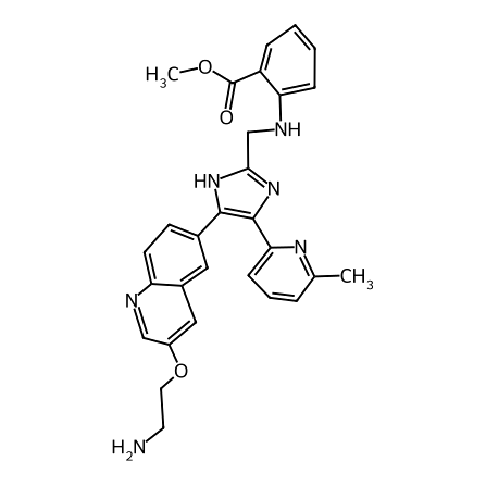 COC(=O)c1ccccc1NCc1nc(-c2cccc(C)n2)c(-c2ccc3ncc(OCCN)cc3c2)[nH]1